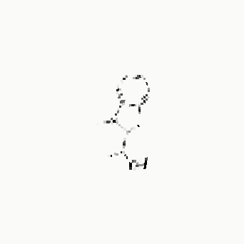 CC(O)C1Cc2ccccc2N1C